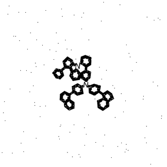 c1ccc(-c2cccc3c2c2ccccc2n3-c2ccccc2-c2ccc(N(c3ccc(-c4cccc5ccccc45)cc3)c3ccc(-c4cccc5ccccc45)cc3)cc2)cc1